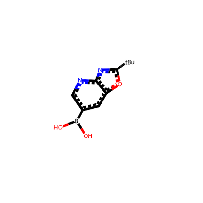 CC(C)(C)c1nc2ncc(B(O)O)cc2o1